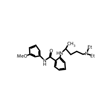 CCN(CC)CCCC(C)Nc1ccccc1C(=O)Nc1cccc(OC)c1